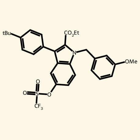 CCOC(=O)c1c(-c2ccc(C(C)(C)C)cc2)c2cc(OS(=O)(=O)C(F)(F)F)ccc2n1Cc1cccc(OC)c1